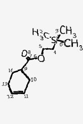 C[Si](C)(C)CCOC(=O)C1CC=CCC1